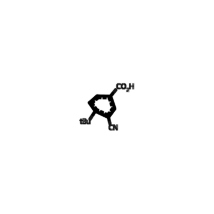 CC(C)(C)c1ccc(C(=O)O)cc1C#N